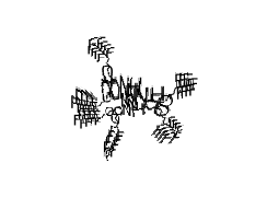 FC(F)(F)C(F)(F)C(F)(F)C(F)(F)CCCOc1ccc(Nc2nc(Nc3ccc(OCCCC(F)(F)C(F)(F)C(F)(F)C(F)(F)F)c(OCCCC(F)(F)C(F)(F)C(F)(F)C(F)(F)F)c3)nc(Nc3ccc(OCCCC(F)(F)C(F)(F)C(F)(F)C(F)(F)F)c(OCCCC(F)(F)C(F)(F)C(F)(F)C(F)(F)F)c3)n2)cc1OCCCC(F)(F)C(F)(F)C(F)(F)C(F)(F)F